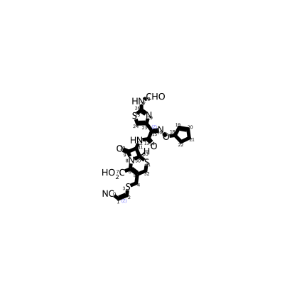 N#C/C=C\SCC1=C(C(=O)O)N2C(=O)C(NC(=O)/C(=N\OC3C=CCC3)c3csc(NC=O)n3)[C@H]2SC1